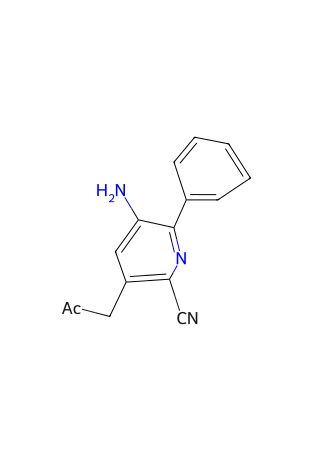 CC(=O)Cc1cc(N)c(-c2ccccc2)nc1C#N